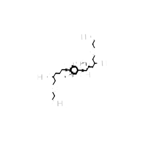 CCCCOCCC(C)CCCC(C)(C)c1cc(O)c(C(C)(C)CCCC(C)CCOCCCC)cc1O